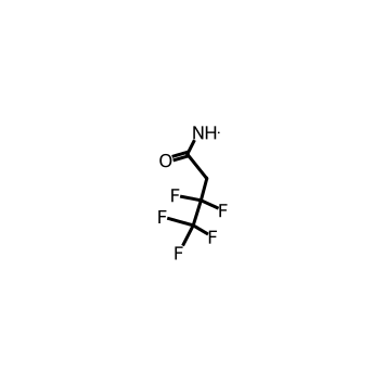 [NH]C(=O)CC(F)(F)C(F)(F)F